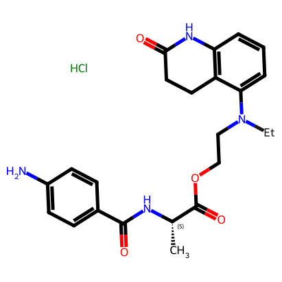 CCN(CCOC(=O)[C@H](C)NC(=O)c1ccc(N)cc1)c1cccc2c1CCC(=O)N2.Cl